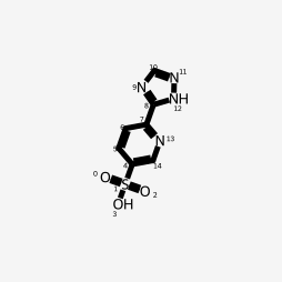 O=S(=O)(O)c1ccc(-c2ncn[nH]2)nc1